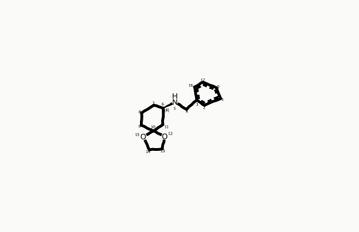 c1ccc(CN[C@@H]2CCCC3(C2)OCCO3)cc1